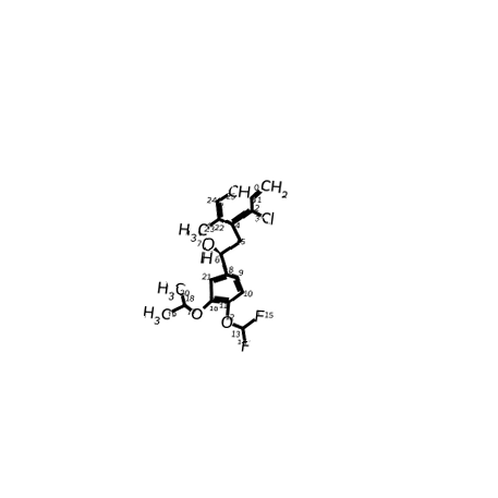 C=C/C(Cl)=C(C[C@H](O)c1ccc(OC(F)F)c(OC(C)C)c1)\C(C)=C/C